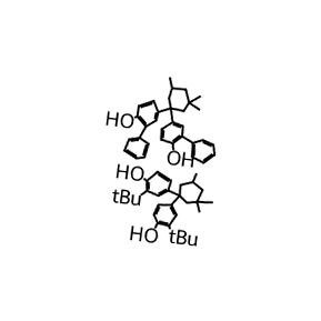 CC1CC(C)(C)CC(c2ccc(O)c(-c3ccccc3)c2)(c2ccc(O)c(-c3ccccc3)c2)C1.CC1CC(C)(C)CC(c2ccc(O)c(C(C)(C)C)c2)(c2ccc(O)c(C(C)(C)C)c2)C1